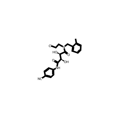 Cc1ccccc1CN(CCCl)C(=O)[C@H](O)[C@@H](O)C(=O)Nc1ccc(C#N)cc1